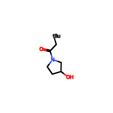 CC(C)(C)CC(=O)N1CCC(O)C1